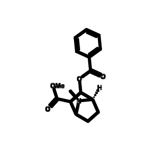 COC(=O)C1C(OC(=O)c2ccccc2)[C@H]2CCC1N2C